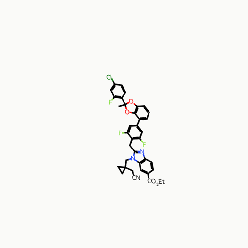 CCOC(=O)c1ccc2nc(Cc3c(F)cc(-c4cccc5c4OC(C)(c4ccc(Cl)cc4F)O5)cc3F)n(CC3(CC#N)CC3)c2c1